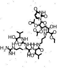 CCOC(=O)C(NCCCNC(=O)[C@@H](NC(=O)[C@H](CCCNC(=N)N)NC(=O)N[C@H](C(=O)O)C(C)C)[C@@H](O)C(C)C)[C@@H](O)[C@H]1O[C@@H](n2ccc(=O)[nH]c2=O)[C@H](OC(C)=O)[C@@H]1OC(C)=O